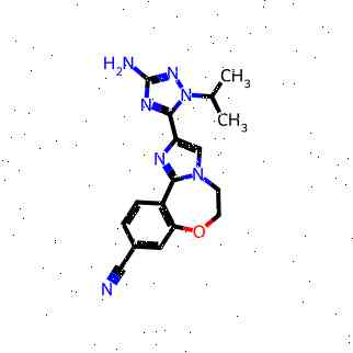 CC(C)n1nc(N)nc1-c1cn2c(n1)-c1ccc(C#N)cc1OCC2